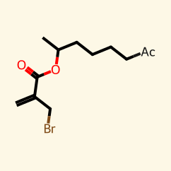 C=C(CBr)C(=O)OC(C)CCCCC(C)=O